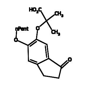 CCCCCOc1cc2c(cc1OC(C)(C)C(=O)O)C(=O)CC2